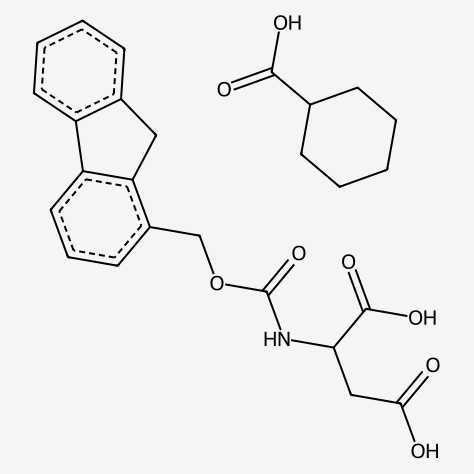 O=C(O)C1CCCCC1.O=C(O)CC(NC(=O)OCc1cccc2c1Cc1ccccc1-2)C(=O)O